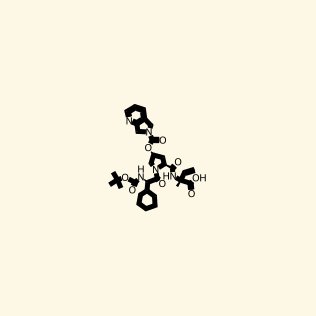 C=C[C@@](C)(NC(=O)[C@@H]1C[C@@H](OC(=O)N2Cc3cccnc3C2)CN1C(=O)[C@@H](NC(=O)OC(C)(C)C)C1CCCCC1)C(=O)O